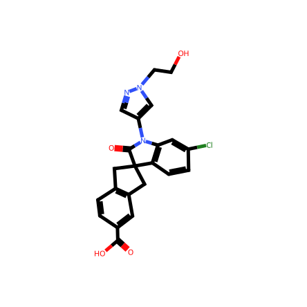 O=C(O)c1ccc2c(c1)CC1(C2)C(=O)N(c2cnn(CCO)c2)c2cc(Cl)ccc21